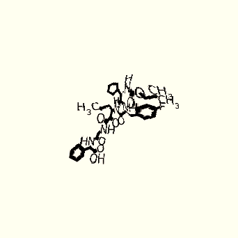 CCCC(NC(=O)[C@H](Cc1ccc(F)cc1)NC(=O)[C@@H](NC(=O)OCC(C)C)C1CCCCC1)C(=O)C(=O)NCC(=O)N[C@H](C(=O)O)c1ccccc1